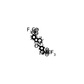 O=C(c1ccc2c(c1)ncn2S(=O)(=O)C(F)(F)F)N1CCCC2c3cc(OS(=O)(=O)C(F)(F)F)ccc3CC21